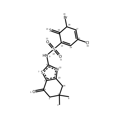 CC1(C)CC(=O)c2sc(NS(=O)(=O)C3=CC(Cl)=CC(Br)C3=S)nc2C1